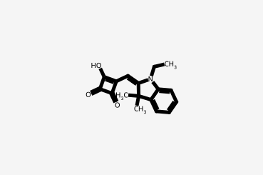 CCN1/C(=C/c2c(O)c(=O)c2=O)C(C)(C)c2ccccc21